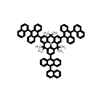 CC1(C)c2cc(-c3c4ccccc4c(-c4cccc5ccccc45)c4ccccc34)cc3c2N2c4c1cc(-c1c5ccccc5c(-c5cccc6ccccc56)c5ccccc15)cc4C(C)(C)c1cc(-c4c5ccccc5c(-c5cccc6ccccc56)c5ccccc45)cc(c12)C3(C)C